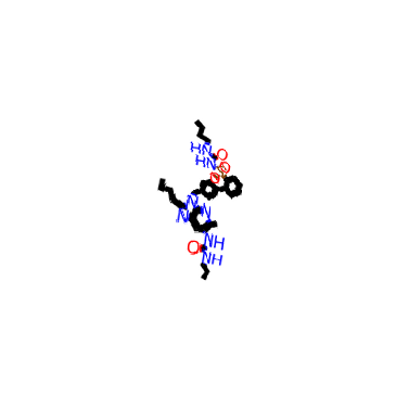 CCCCNC(=O)NS(=O)(=O)c1ccccc1-c1ccc(Cn2c(CCCC)nc3cc(NC(=O)NCCC)c(C)nc32)cc1